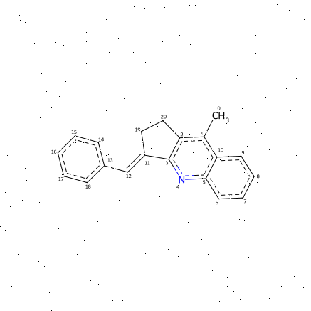 Cc1c2c(nc3ccccc13)C(=Cc1ccccc1)CC2